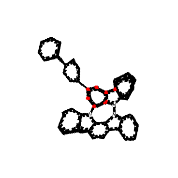 c1ccc(-c2ccc(-c3cc(-n4c5ccccc5c5ccc6c7ccccc7n(-n7c8ccccc8c8ccccc87)c6c54)nc(-c4ccccc4)n3)cc2)cc1